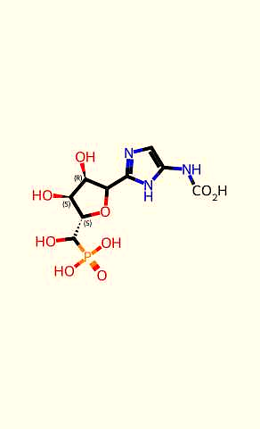 O=C(O)Nc1cnc(C2O[C@H](C(O)P(=O)(O)O)[C@@H](O)[C@H]2O)[nH]1